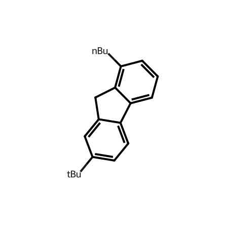 CCCCc1cccc2c1Cc1cc(C(C)(C)C)ccc1-2